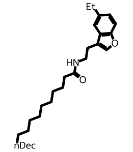 CCCCCCCCCCCCCCCCCCCC(=O)NCCc1coc2ccc(CC)cc12